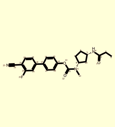 CCC(=O)N[C@H]1CC[C@@H](N(C)C(=O)Oc2ccc(-c3ccc(C#N)c(F)c3)cc2)C1